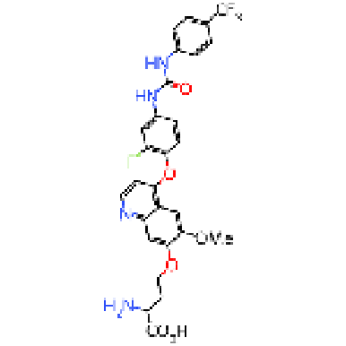 COc1cc2c(Oc3ccc(NC(=O)Nc4ccc(C(F)(F)F)cc4)cc3F)ccnc2cc1OCC[C@H](N)C(=O)O